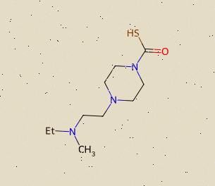 CCN(C)CCN1CCN(C(=O)S)CC1